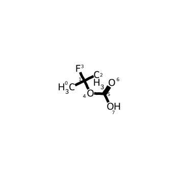 CC(C)(F)OC(=O)O